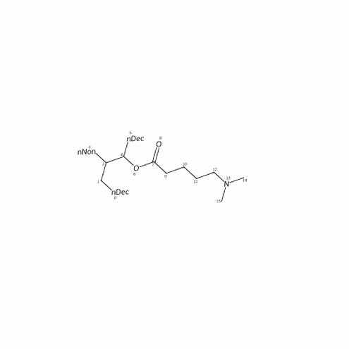 CCCCCCCCCCCC(CCCCCCCCC)C(CCCCCCCCCC)OC(=O)CCCCN(C)C